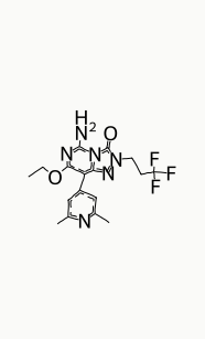 CCOc1nc(N)n2c(=O)n(CCC(F)(F)F)nc2c1-c1cc(C)nc(C)c1